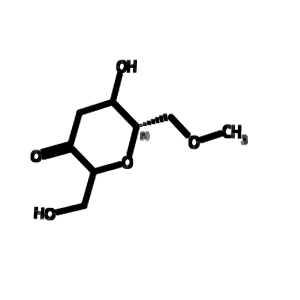 COC[C@@H]1OC(CO)C(=O)CC1O